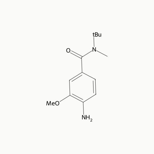 COc1cc(C(=O)N(C)C(C)(C)C)ccc1N